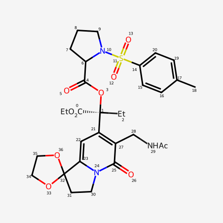 CCOC(=O)[C@@](CC)(OC(=O)C1CCCN1S(=O)(=O)c1ccc(C)cc1)c1cc2n(c(=O)c1CNC(C)=O)CCC21OCCO1